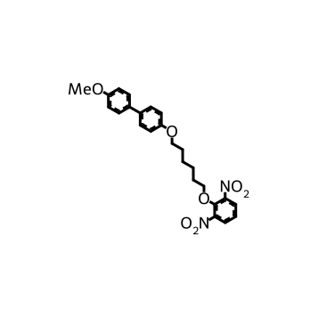 COc1ccc(-c2ccc(OCCCCCCOc3c([N+](=O)[O-])cccc3[N+](=O)[O-])cc2)cc1